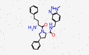 Cn1nnc2cc(CNC(=O)[C@@H]3C[C@@H](c4ccccc4)CN3C(=O)[C@H](N)CCc3ccccc3)ccc21